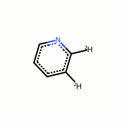 [2H]c1cccnc1[2H]